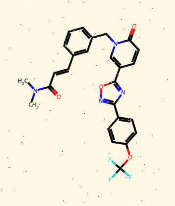 CN(C)C(=O)C=Cc1cccc(Cn2cc(-c3nc(-c4ccc(OC(F)(F)F)cc4)no3)ccc2=O)c1